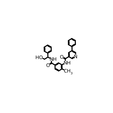 Cc1ccc(C(=O)NC(CO)c2ccccc2)cc1NC(=O)c1cncc(-c2ccccc2)c1